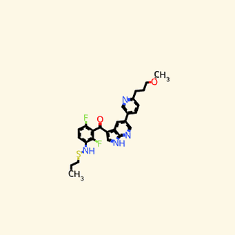 CCCSNc1ccc(F)c(C(=O)c2c[nH]c3ncc(-c4ccc(CCCOC)nc4)cc23)c1F